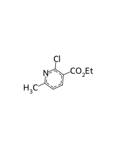 CCOC(=O)c1ccc(C)nc1Cl